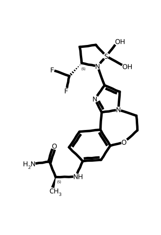 C[C@H](Nc1ccc2c(c1)OCCn1cc(N3[C@H](C(F)F)CCS3(O)O)nc1-2)C(N)=O